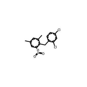 Cc1cc(C)c(Cc2ccc(Cl)cc2Cl)c([SH](=O)=O)c1